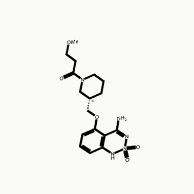 COCCC(=O)N1CCC[C@H](COc2cccc3c2C(N)=NS(=O)(=O)N3)C1